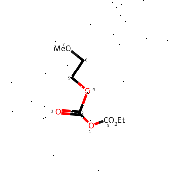 CCOC(=O)OC(=O)OCCOC